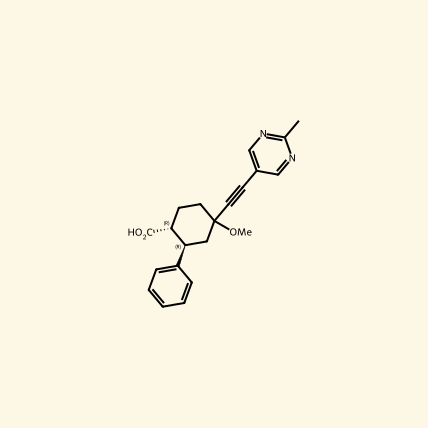 COC1(C#Cc2cnc(C)nc2)CC[C@@H](C(=O)O)[C@H](c2ccccc2)C1